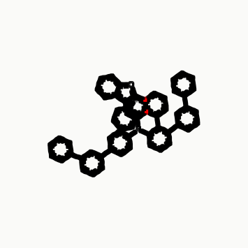 c1ccc(-c2cccc(-c3ccc(N(c4ccc5oc6ccccc6c5c4)c4cccc(-c5cccc(-c6ccccc6)c5)c4-c4cccc5oc6ccccc6c45)cc3)c2)cc1